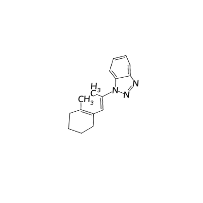 CC1=C(/C=C(\C)n2nnc3ccccc32)CCCC1